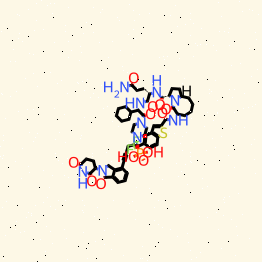 NC(=O)CC[C@H](NC(=O)[C@@H]1CC[C@@H]2CCCC[C@H](NC(=O)c3cc4cc(C(F)(F)P(=O)(O)O)ccc4s3)C(=O)N21)C(=O)N[C@H](C(=O)N1CCN(CCC#Cc2cccc3c2CN(C2CCC(=O)NC2=O)C3=O)CC1)C1CCCCC1